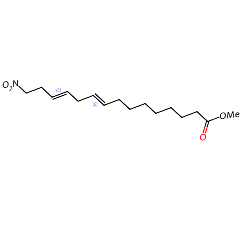 COC(=O)CCCCCCC/C=C/C/C=C/CC[N+](=O)[O-]